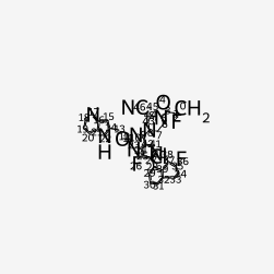 C=C(F)C(=O)N1CCN(c2nc(OCc3cc4ncccc4[nH]3)nc3c(F)c(-c4cccc5ccc(F)c(Cl)c45)ncc23)C[C@@H]1CC#N